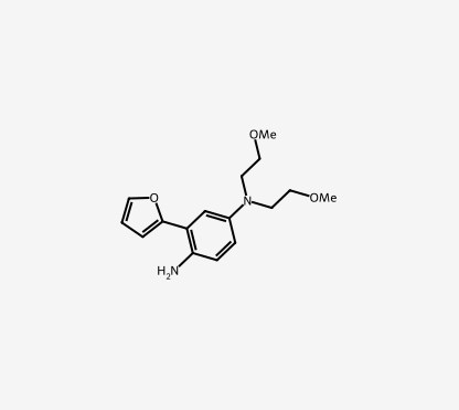 COCCN(CCOC)c1ccc(N)c(-c2ccco2)c1